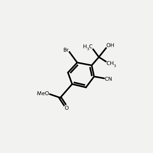 COC(=O)c1cc(Br)c(C(C)(C)O)c(C#N)c1